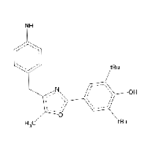 Cc1oc(-c2cc(C(C)(C)C)c(O)c(C(C)(C)C)c2)nc1Cc1ccc([NH])cc1